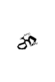 NC(=O)[C](c1ccccc1)c1cc[nH]n1